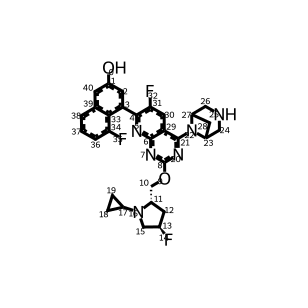 Oc1cc(-c2nc3nc(OC[C@@H]4C[C@@H](F)CN4C4CC4)nc(N4C5CNCC4C5)c3cc2F)c2c(F)cccc2c1